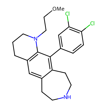 COCCN1CCCc2cc3c(c(-c4ccc(Cl)c(Cl)c4)c21)CCNCC3